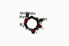 COc1cc(OC)c(OC)cc1CC[C@H]1OC(=O)[C@@H]2CCCCN2C(=O)C(=O)C(C)(C)COC(=O)/C=C/CCN(C)C(=O)[C@@H](Cc2ccccc2)NC(=O)CN(C)C(=O)[C@@H](Cc2ccccc2)NC(=O)[C@H](CCc2ccc(O)cc2)N(C)C(=O)COc2cccc1c2